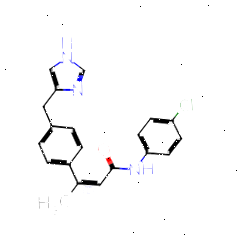 C/C(=C/C(=O)Nc1ccc(Cl)cc1)c1ccc(Cc2c[nH]cn2)cc1